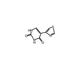 O=c1[nH]cc(-c2cscn2)c(=O)[nH]1